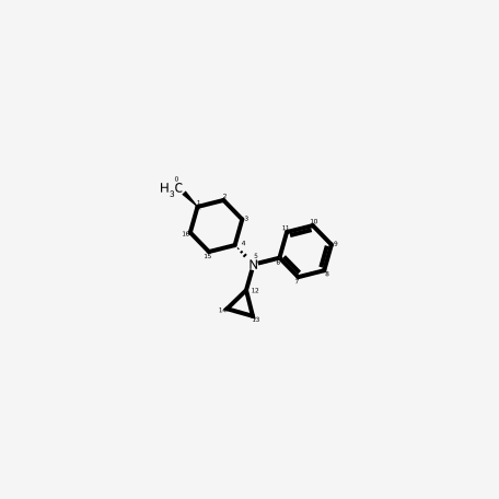 C[C@H]1CC[C@H](N(c2ccccc2)C2CC2)CC1